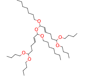 CCCCCCCOC(C=CCCC(OCCCC)OCCCC)OC(C=CCCC(OCCCC)OCCCC)OCCCCCCC